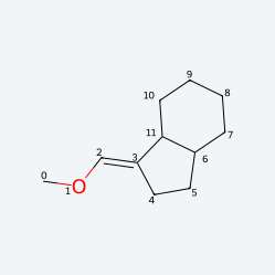 COC=C1CCC2CCCCC12